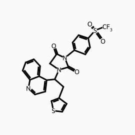 O=C1CN(C(Cc2ccsc2)c2ccnc3ccccc23)C(=O)N1c1ccc(S(=O)(=O)C(F)(F)F)cc1